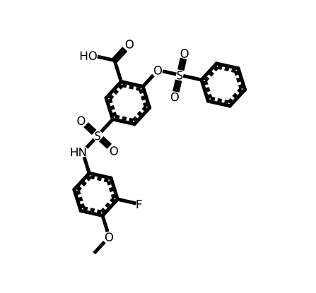 COc1ccc(NS(=O)(=O)c2ccc(OS(=O)(=O)c3ccccc3)c(C(=O)O)c2)cc1F